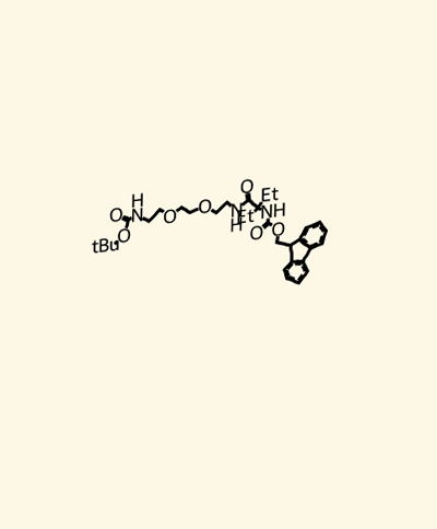 CCC(CC)(NC(=O)OCC1c2ccccc2-c2ccccc21)C(=O)NCCOCCOCCNC(=O)OC(C)(C)C